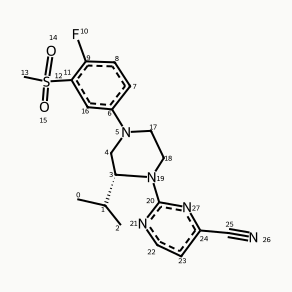 CC(C)[C@@H]1CN(c2ccc(F)c(S(C)(=O)=O)c2)CCN1c1nccc(C#N)n1